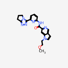 COCCn1ccc2cnc(C(=O)Nc3cccc(-c4nnc5n4CCC5)n3)cc21